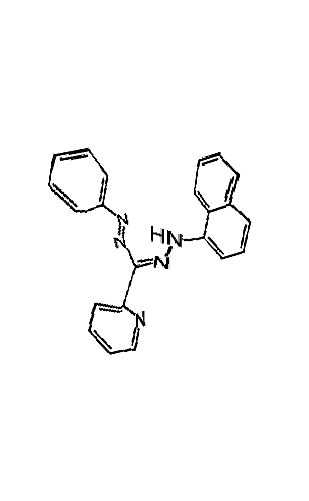 c1ccc(N=NC(=NNc2cccc3ccccc23)c2ccccn2)cc1